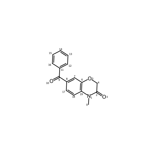 CN1C(=O)COc2cc(C(=O)c3ccccc3)ccc21